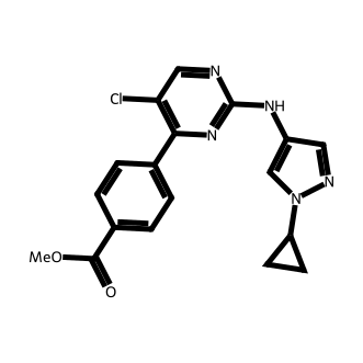 COC(=O)c1ccc(-c2nc(Nc3cnn(C4CC4)c3)ncc2Cl)cc1